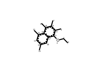 [CH2]COc1c(C)c(C)c(C)c2c(C)cc(C)cc12